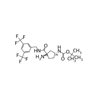 CC(C)(C)OC(=O)N[C@@H]1CC[C@](N)(C(=O)NCc2cc(C(F)(F)F)cc(C(F)(F)F)c2)C1